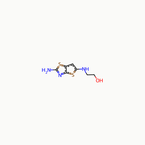 Nc1nc2sc(NCCO)cc2s1